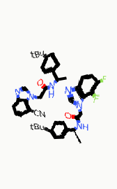 CC(NC(=O)Cn1cnc2cccc(C#N)c21)c1ccc(C(C)(C)C)cc1.C[C@H](NC(=O)Cn1cnc2ccc(F)c(F)c21)c1ccc(C(C)(C)C)cc1